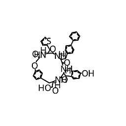 O=C1COc2ccc(cc2)C[C@@H](C(=O)O)NC(=O)[C@H](Cc2ccc(O)cc2)NC(=O)[C@@H](Cc2ccc(-c3ccccc3)cc2)NC(=O)[C@H](Cc2cccs2)N1